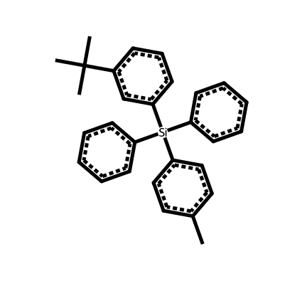 Cc1ccc([Si](c2ccccc2)(c2ccccc2)c2cccc(C(C)(C)C)c2)cc1